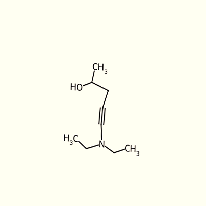 CCN(C#CCC(C)O)CC